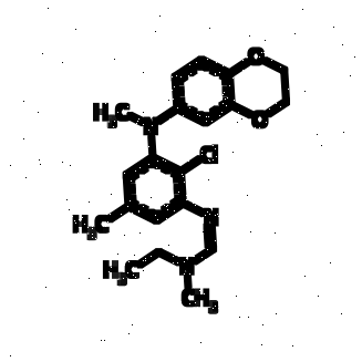 CCN(C)/C=N\c1cc(C)cc(N(C)c2ccc3c(c2)OCCO3)c1Cl